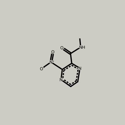 CNC(=O)c1nccnc1[N+](=O)[O-]